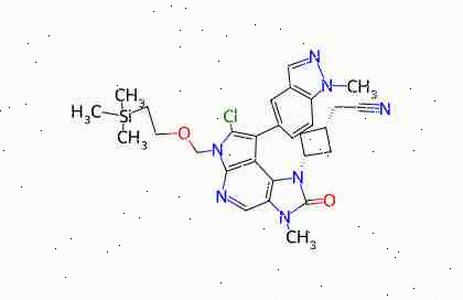 Cn1ncc2cc(-c3c(Cl)n(COCC[Si](C)(C)C)c4ncc5c(c34)n([C@H]3C[C@@H](CC#N)C3)c(=O)n5C)ccc21